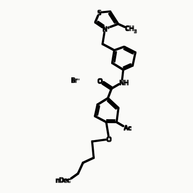 CCCCCCCCCCCCCCOc1ccc(C(=O)Nc2cccc(C[n+]3cscc3C)c2)cc1C(C)=O.[Br-]